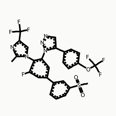 Cc1nc(C(F)(F)F)cn1-c1c(F)cc(-c2cccc(S(C)(=O)=O)c2)cc1-n1nncc1-c1ccc(OC(F)(F)F)cc1